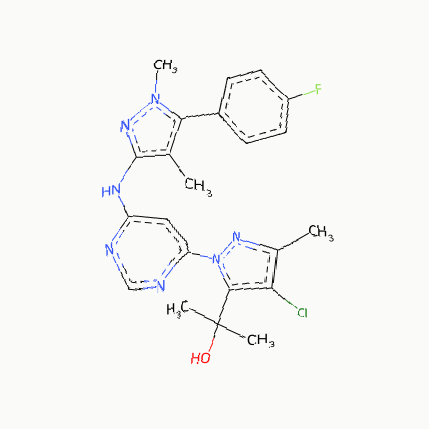 Cc1nn(-c2cc(Nc3nn(C)c(-c4ccc(F)cc4)c3C)ncn2)c(C(C)(C)O)c1Cl